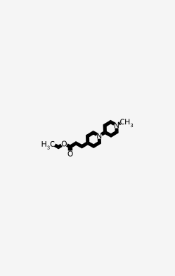 CCOC(=O)CCC1CCN(C2CCN(C)CC2)CC1